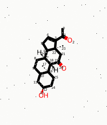 CC(=O)C1=CCC2[C@@H]3CCC4C[C@H](O)CC[C@]4(C)[C@H]3C(=O)C[C@]12C